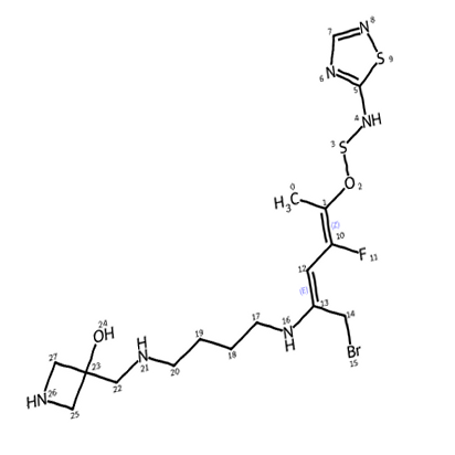 C/C(OSNc1ncns1)=C(F)\C=C(/CBr)NCCCCNCC1(O)CNC1